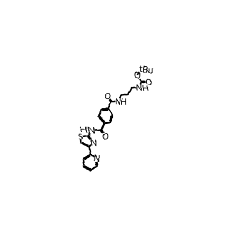 CC(C)(C)OC(=O)NCCCNC(=O)c1ccc(C(=O)Nc2nc(-c3ccccn3)cs2)cc1